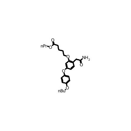 CCCCOc1ccc(Oc2ccc(CC(N)=O)c(OCCCCC(=O)OCCC)c2)cc1